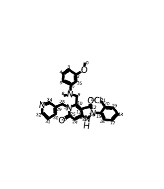 COc1cccc(N(C)Cc2c3c(=O)n(-c4ccccc4Cl)[nH]c3cc(=O)n2Cc2cccnc2)c1